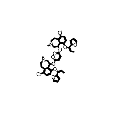 CC=C(Oc1ccc(Cl)c2c1C(OC(=O)/C=C\C(=O)OC1CN(C)CCc3c(Cl)ccc(OC(=CC)c4ccco4)c31)CN(C)CC2)c1ccco1